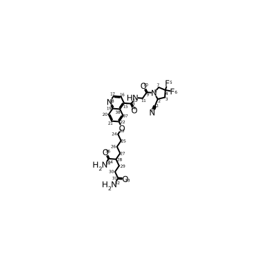 N#CC1CC(F)(F)CN1C(=O)CNC(=O)c1ccnc2ccc(OCCCCC(CCC(N)=O)C(N)=O)cc12